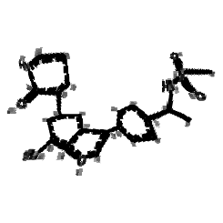 CC(NS(C)(=O)=O)c1ccc(-c2coc3c(C(C)(C)C)cc(-c4ccc[nH]c4=O)cc23)cc1